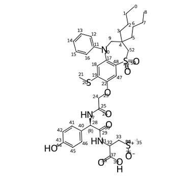 CCCCC1(CCCC)CN(c2ccccc2)c2cc(SC)c(OCC(=O)N[C@@H](C(=O)NC(C[S@+](C)[O-])C(=O)O)c3ccc(O)cc3)cc2S(=O)(=O)C1